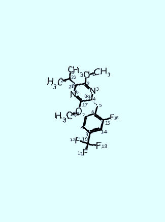 COC1=N[C@H](Cc2ccc(C(F)(F)F)cc2F)C(OC)=N[C@H]1C(C)C